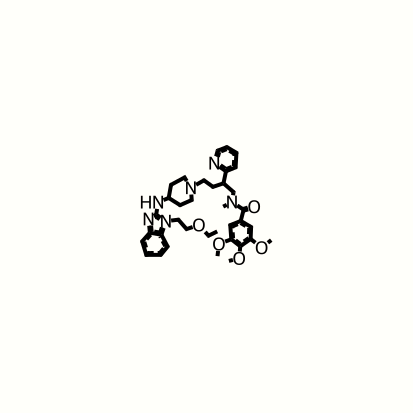 CCOCCn1c(NC2CCN(CCC(CN(C)C(=O)c3cc(OC)c(OC)c(OC)c3)c3ccccn3)CC2)nc2ccccc21